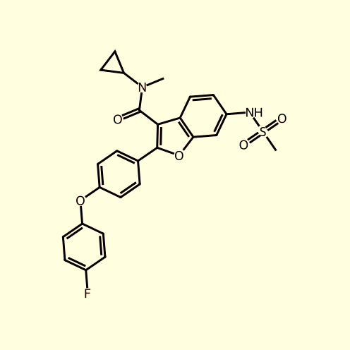 CN(C(=O)c1c(-c2ccc(Oc3ccc(F)cc3)cc2)oc2cc(NS(C)(=O)=O)ccc12)C1CC1